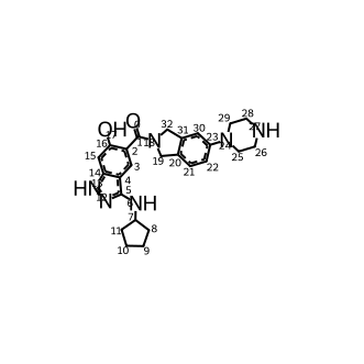 O=C(c1cc2c(NC3CCCC3)n[nH]c2cc1O)N1Cc2ccc(N3CCNCC3)cc2C1